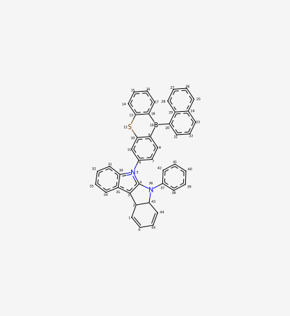 C1=CC2c3c(n(-c4ccc5c(c4)Sc4ccccc4B5c4cccc5ccccc45)c4ccccc34)N(c3ccccc3)C2C=C1